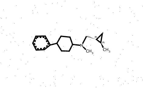 C[C@@H]1C[C@H]1CN(C)C1CCC(c2ccccc2)CC1